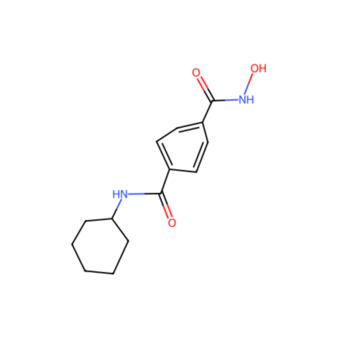 O=C(NO)c1ccc(C(=O)NC2CCCCC2)cc1